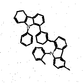 Cc1ccc2c(c1)c1cccc(C3=CC(c4cccc5c6c(n(-c7ccccc7)c45)C=CCC6)=CCC3)c1n2-c1ccccc1C